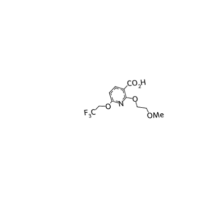 COCCOc1nc(OCC(F)(F)F)ccc1C(=O)O